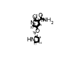 NC(=O)c1cc(OC[C@@H]2CCCN2)cnc1Cl